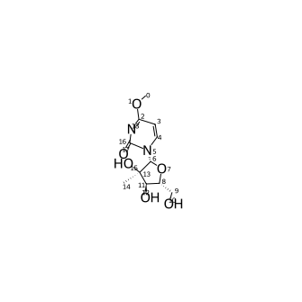 COc1ccn([C@@H]2O[C@H](CO)[C@@H](O)[C@@]2(C)O)c(=O)n1